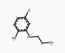 O=Nc1ccc(Cl)cc1NCCO